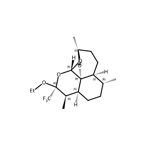 CCO[C@@]1(C(F)(F)F)O[C@@H]2O[C@]3(C)CC[C@H]4[C@H](C)CC[C@@H]([C@H]1C)[C@@]24OO3